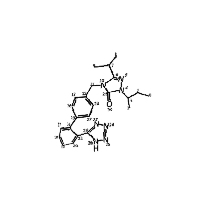 CCC(C)n1nc(C(C)C)n(Cc2ccc(-c3ccccc3-c3nnn[nH]3)cc2)c1=O